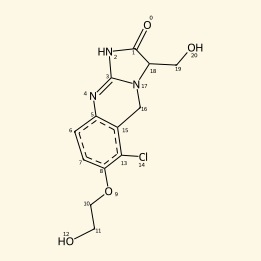 O=C1NC2=Nc3ccc(OCCO)c(Cl)c3CN2C1CO